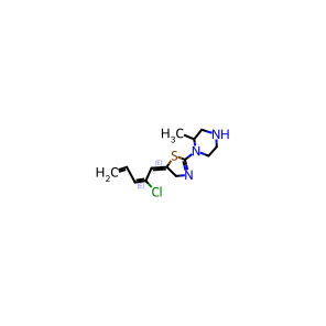 C=C/C=C(Cl)\C=C1/CN=C(N2CCNCC2C)S1